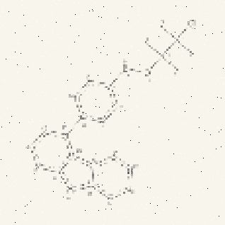 CC(C)(O)C(C)(C)OBc1ccc(-c2cccc3oc4ccccc4c23)cc1